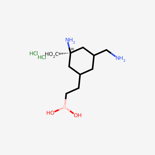 Cl.Cl.NCC1CC(CCB(O)O)C[C@](N)(C(=O)O)C1